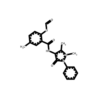 Cc1ccc(OC=O)c(C(=O)Nc2c(C)n(C)n(-c3ccccc3)c2=O)c1